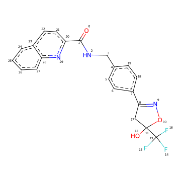 O=C(NCc1ccc(C2=NOC(O)(C(F)(F)F)C2)cc1)c1ccc2ccccc2n1